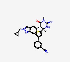 CN1C(=N)N[C@](C)(c2cc(-c3cccc(C#N)c3)cs2)[C@@H](c2ccc3nn(CC4CC4)cc3c2)C1=O